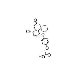 O=C(O)COc1ccc(Oc2ccc(Cl)c3c2C2(CCCCC2)CC(=O)C3)cc1